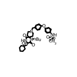 CCCCN1C(=O)[C@H](CC2(O)CCCCC2)NC(=O)C12CCN(Cc1ccc(Oc3ccc(NS(C)(=O)=O)cc3)cc1)CC2